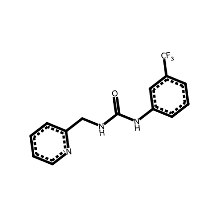 O=C(NCc1ccccn1)Nc1cccc(C(F)(F)F)c1